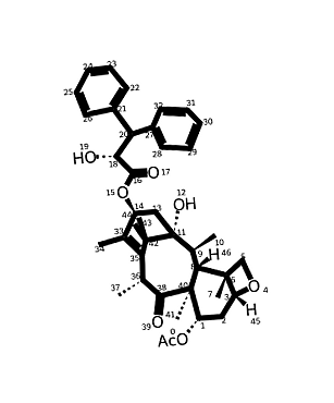 CC(=O)O[C@H]1C[C@H]2OC[C@@]2(C)[C@H]2[C@H](C)[C@]3(O)C[C@H](OC(=O)[C@H](O)C(c4ccccc4)c4ccccc4)C(C)=C([C@@H](C)C(=O)[C@]12C)C3(C)C